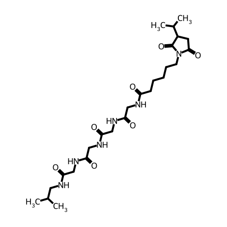 CC(C)CNC(=O)CNC(=O)CNC(=O)CNC(=O)CNC(=O)CCCCCN1C(=O)CC(C(C)C)C1=O